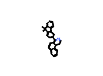 CC1(C)c2ccccc2-c2cc(-c3nccc4c3ccc3ccccc34)ccc21